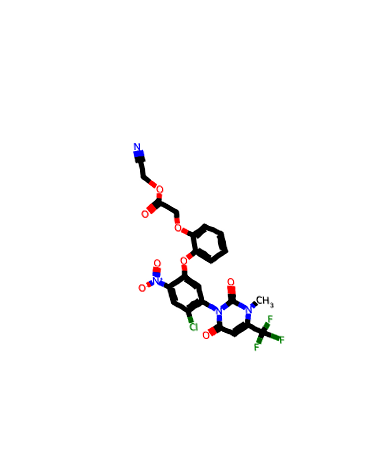 Cn1c(C(F)(F)F)cc(=O)n(-c2cc(Oc3ccccc3OCC(=O)OCC#N)c([N+](=O)[O-])cc2Cl)c1=O